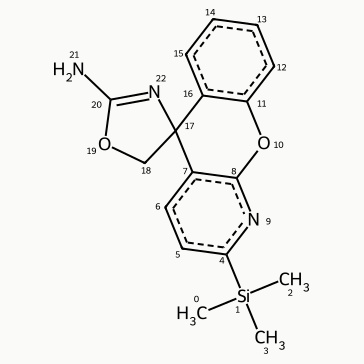 C[Si](C)(C)c1ccc2c(n1)Oc1ccccc1C21COC(N)=N1